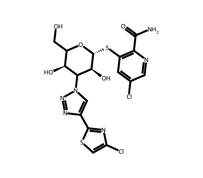 NC(=O)c1ncc(Cl)cc1S[C@H]1OC(CO)[C@H](O)C(n2cc(-c3nc(Cl)cs3)nn2)[C@@H]1O